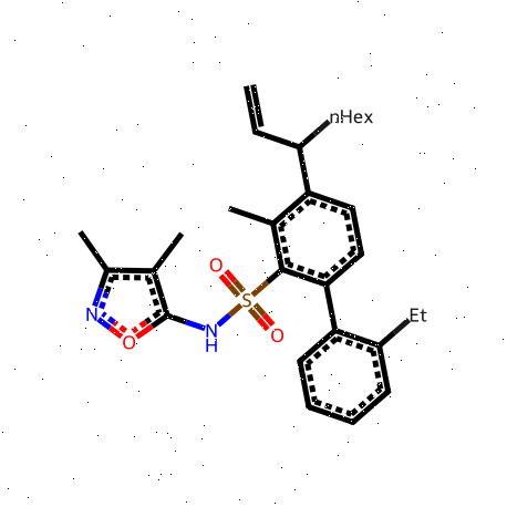 C=CC(CCCCCC)c1ccc(-c2ccccc2CC)c(S(=O)(=O)Nc2onc(C)c2C)c1C